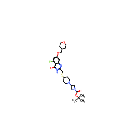 CC(C)(C)OC(=O)N1CC(N2CCC(SCc3nc4cc(OCC5CCOCC5)cc(F)c4c(=O)[nH]3)CC2)C1